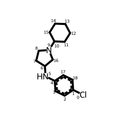 Clc1ccc(NC2CCN(C3CCCCC3)C2)cc1